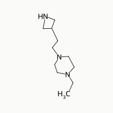 CCN1CCN(CCC2CNC2)CC1